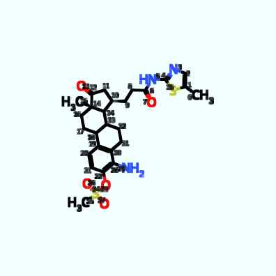 Cc1cnc(NC(=O)CC[C@@H]2CC(=O)[C@@]3(C)CCC4c5ccc(OS(C)(=O)=O)c(N)c5CCC4C23)s1